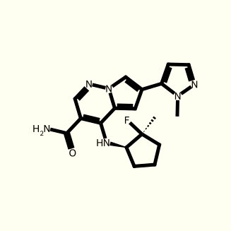 Cn1nccc1-c1cc2c(N[C@@H]3CCC[C@]3(C)F)c(C(N)=O)cnn2c1